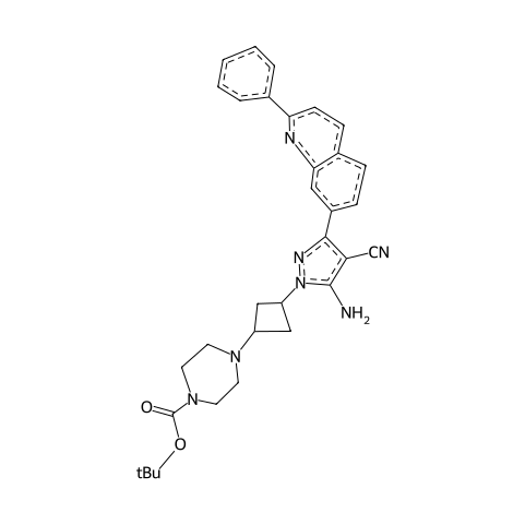 CC(C)(C)OC(=O)N1CCN(C2CC(n3nc(-c4ccc5ccc(-c6ccccc6)nc5c4)c(C#N)c3N)C2)CC1